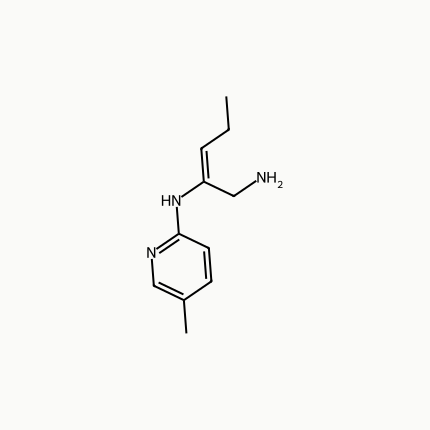 CC/C=C(\CN)Nc1ccc(C)cn1